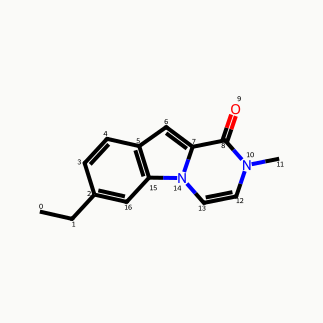 CCc1ccc2cc3c(=O)n(C)ccn3c2c1